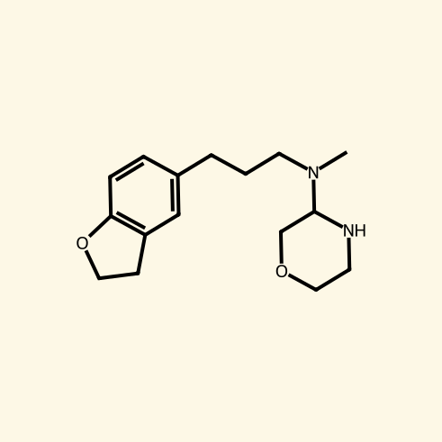 CN(CCCc1ccc2c(c1)CCO2)C1COCCN1